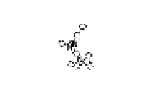 c1ccc(-c2ccc(-c3cc(-c4ccccc4)nc(-c4ccc(-n5c6c7ccccc7ccc6c6c7ccccc7c7ccccc7c65)cc4)n3)cc2)cc1